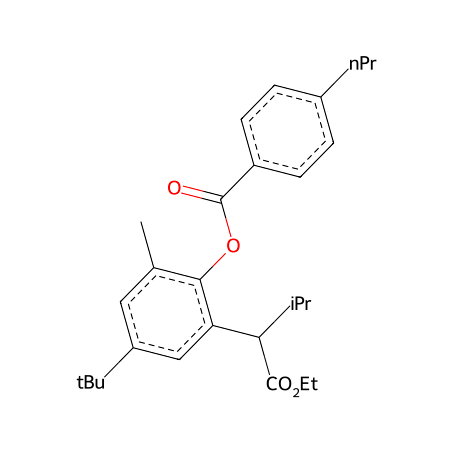 CCCc1ccc(C(=O)Oc2c(C)cc(C(C)(C)C)cc2C(C(=O)OCC)C(C)C)cc1